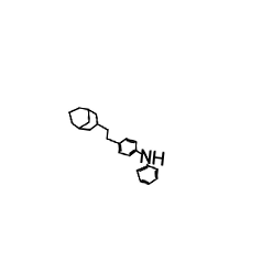 c1ccc(Nc2ccc(CCC3CC4CCCC(C4)C3)cc2)cc1